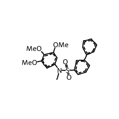 COc1cc(N(C)S(=O)(=O)c2cccc(-c3ccccc3)c2)cc(OC)c1OC